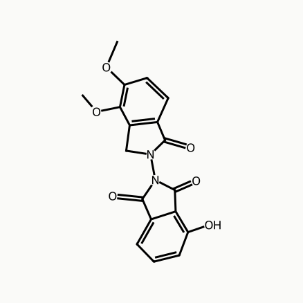 COc1ccc2c(c1OC)CN(N1C(=O)c3cccc(O)c3C1=O)C2=O